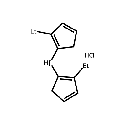 CCC1=[C]([Hf][C]2=C(CC)C=CC2)CC=C1.Cl